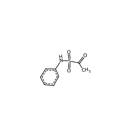 CC(=O)S(=O)(=O)Nc1ccccc1